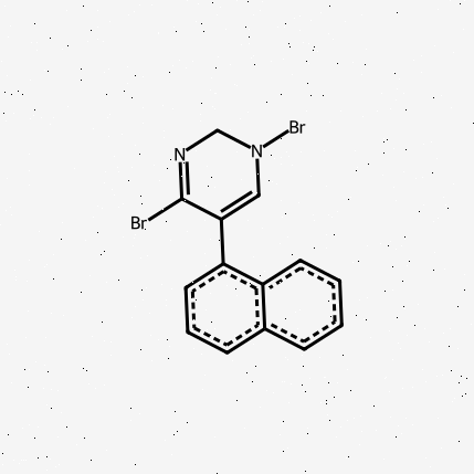 BrC1=NCN(Br)C=C1c1cccc2ccccc12